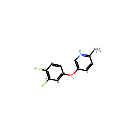 O=[N+]([O-])c1ccc(Oc2ccc(F)c(F)c2)cn1